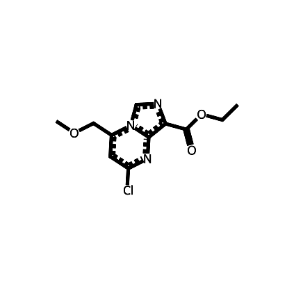 CCOC(=O)c1ncn2c(COC)cc(Cl)nc12